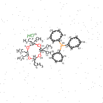 C[SiH]1O[Si](C)(C)O[Si](C)(C)O[Si](C)(C)O1.Cl.c1ccc(P(c2ccccc2)c2ccccc2)cc1